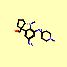 CNc1c(NC2CCN(C)CC2)cc(N)cc1C1(C=O)CCCC1